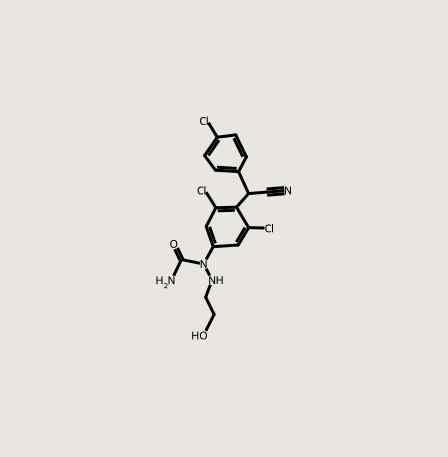 N#CC(c1ccc(Cl)cc1)c1c(Cl)cc(N(NCCO)C(N)=O)cc1Cl